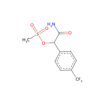 CS(=O)(=O)OC(C(N)=O)c1ccc(C(F)(F)F)cc1